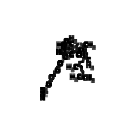 Cc1c(C)c(C(CCOCCOCCOCCOCCOCCN=[N+]=[N-])(CC(=O)O)C(=O)O)c(C)c2c1O[C@](C)(CCC[C@H](C)CCC[C@H](C)CCCC(C)C)CC2